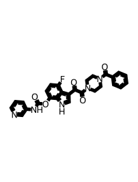 O=C(Nc1cccnc1)Oc1ccc(F)c2c(C(=O)C(=O)N3CCN(C(=O)c4ccccc4)CC3)c[nH]c12